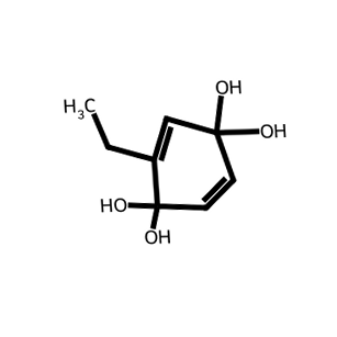 CCC1=CC(O)(O)C=CC1(O)O